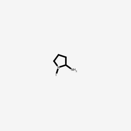 NC1CCCN1I